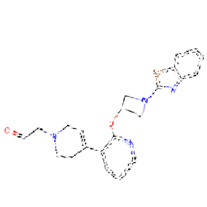 O=CCN1CC=C(c2cccnc2OC2CN(c3nc4ccccc4s3)C2)CC1